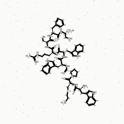 CC(C)C[C@H](NC(=O)[C@H](CCCNC(=N)N)NC(=O)[C@H](Cc1c[nH]c2ccccc12)NC(=O)[C@H](Cc1c[nH]c2ccccc12)NC(=O)[C@@H]1CCCN1C(=O)[C@H](CCCCN)NC(=O)[C@@H](N)Cc1c[nH]c2ccccc12)C(=O)N[C@@H](Cc1ccccc1)C(=O)N[C@@H](CO)C(=O)O